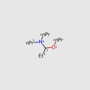 CC[CH]OC(CC)N(CCC)CCC